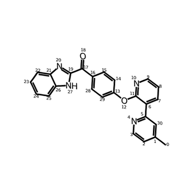 Cc1ccnc(-c2cccnc2Oc2ccc(C(=O)c3nc4ccccc4[nH]3)cc2)c1